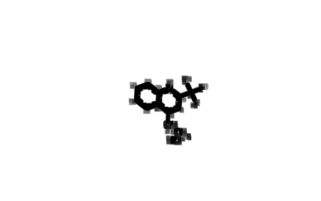 C.Cl.Oc1cc(C(F)(F)F)nc2ccccc12